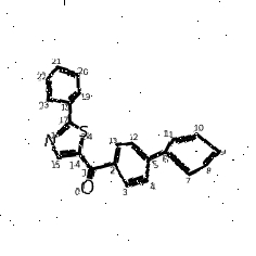 O=C(c1ccc(-c2ccccc2)cc1)c1cnc(-c2ccccc2)s1